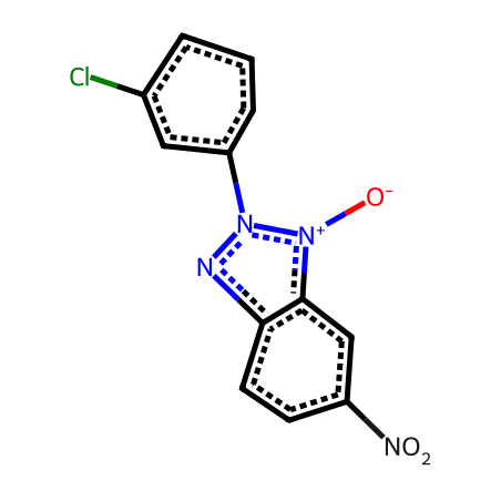 O=[N+]([O-])c1ccc2nn(-c3cccc(Cl)c3)[n+]([O-])c2c1